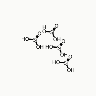 O=[Si](O)O.O=[Si](O)O.O=[Si](O)O.O=[Si](O)O